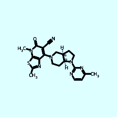 Cc1ccnc(N2CC[C@@H]3CN(c4c(C#N)c(=O)n(C)c5sc(C)nc45)CC[C@@H]32)n1